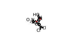 O=[N+]([O-])c1sccc1CC(c1ccc2nnn(CCO)c2c1)S(=O)(=O)Oc1ccc(N(CCCl)CCCl)cc1